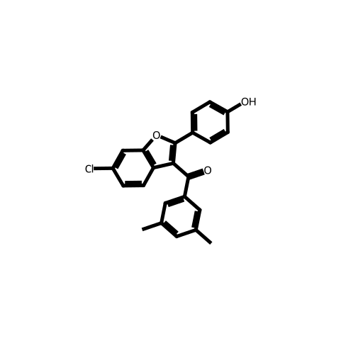 Cc1cc(C)cc(C(=O)c2c(-c3ccc(O)cc3)oc3cc(Cl)ccc23)c1